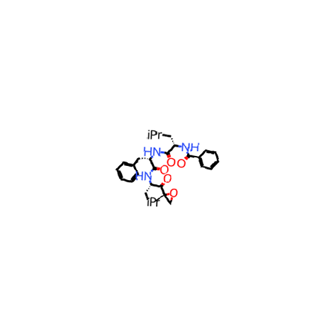 CC(C)C[C@H](NC(=O)c1ccccc1)C(=O)N[C@@H](Cc1ccccc1)C(=O)N[C@@H](CC(C)C)C(=O)[C@@]1(C)CO1